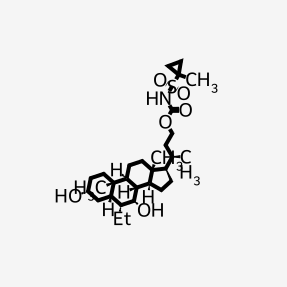 CC[C@H]1[C@@H](O)[C@@H]2[C@H](CC[C@]3(C)[C@@H]([C@H](C)CCOC(=O)NS(=O)(=O)C4(C)CC4)CC[C@@H]23)[C@@]2(C)CC[C@@H](O)C[C@@H]12